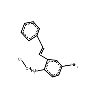 CCO.Nc1ccc(N)c(C=Cc2ccccc2)c1